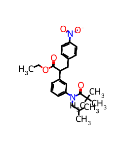 CCOC(=O)C(Cc1ccc([N+](=O)[O-])cc1)c1cccc(N(CC(C)C)C(=O)C(C)(C)C)c1